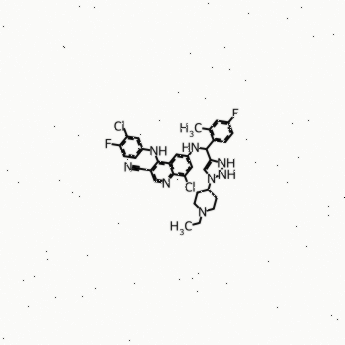 CCN1CCC(N2C=C(C(Nc3cc(Cl)c4ncc(C#N)c(Nc5ccc(F)c(Cl)c5)c4c3)c3ccc(F)cc3C)NN2)CC1